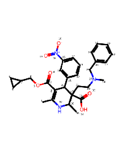 CC1=C(C(=O)OCC2CC2)C(c2cccc([N+](=O)[O-])c2)C(CCN(C)Cc2ccccc2)(C(=O)O)C(C)N1